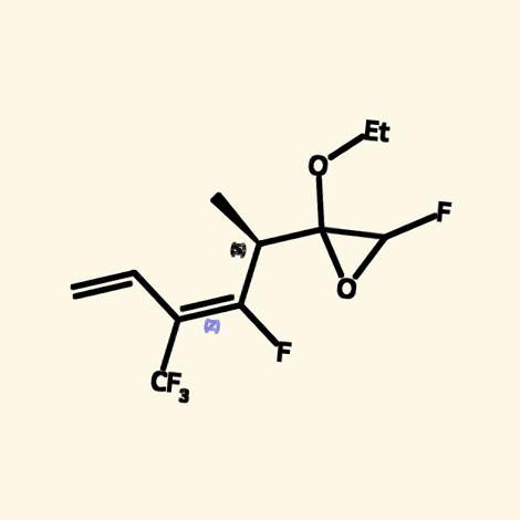 C=C/C(=C(/F)[C@@H](C)C1(OCC)OC1F)C(F)(F)F